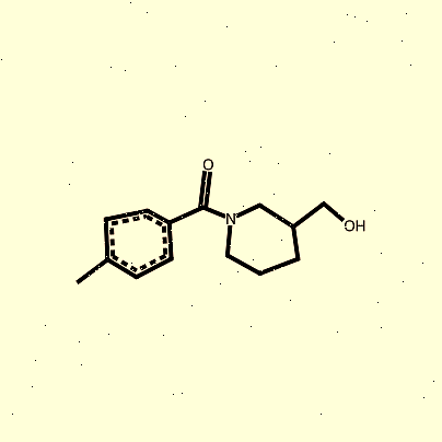 Cc1ccc(C(=O)N2CCCC(CO)C2)cc1